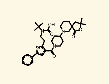 CC1(C)CC2(CCCN(C3CCN(C(=O)c4cc(-c5ccccc5)sc4CCN(C(=O)O)C(C)(C)C)CC3)C2)C(=O)O1